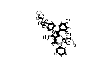 Cc1c(C(=S)N(C2CCCCC2)N(C)C)cc(-c2ccc(Cl)cc2Cl)n1-c1ccc(OS(=O)(=O)CCC(F)(F)F)cc1